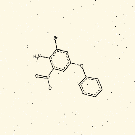 Nc1c(Br)cc(Oc2ccccc2)cc1[N+](=O)[O-]